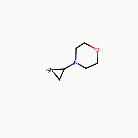 C1CN([CH]2[CH2][Sb]2)CCO1